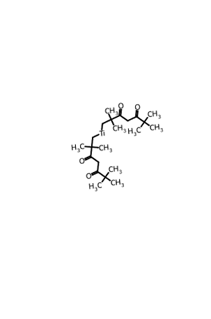 CC(C)(C)C(=O)CC(=O)C(C)(C)[CH2][Ti][CH2]C(C)(C)C(=O)CC(=O)C(C)(C)C